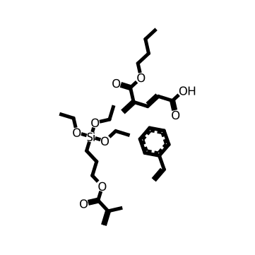 C=C(C)C(=O)OCCC[Si](OCC)(OCC)OCC.C=C(C=CC(=O)O)C(=O)OCCCC.C=Cc1ccccc1